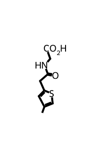 Cc1csc(CC(=O)NCC(=O)O)c1